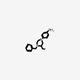 Nc1ccc(N2CCN(Cc3ccccc3)C(CF)C2)cc1